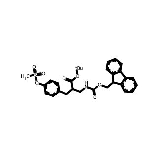 CC(C)(C)OC(=O)C(CNC(=O)OCC1c2ccccc2-c2ccccc21)Cc1ccc(OS(C)(=O)=O)cc1